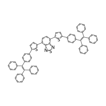 c1ccc(C(=C(c2ccccc2)c2ccc(-c3ccc(-c4ccc(-c5ccc(-c6ccc(C(=C(c7ccccc7)c7ccccc7)c7ccccc7)cc6)s5)c5nsnc45)s3)cc2)c2ccccc2)cc1